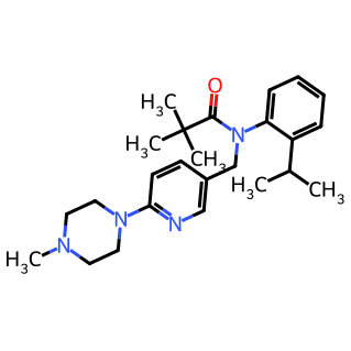 CC(C)c1ccccc1N(Cc1ccc(N2CCN(C)CC2)nc1)C(=O)C(C)(C)C